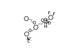 [C-]#[N+]c1cccc(OCc2ccc(CCC(=O)NS(=O)(=O)c3ccc(F)c(F)c3)c(OCCc3ccccc3)c2)c1